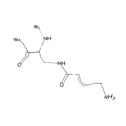 CC(C)(C)NC(CNC(=O)/C=C/CN)C(=O)C(C)(C)C